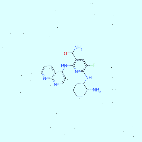 NC(=O)c1cc(F)c(NC2CCCCC2N)nc1Nc1ccnc2ncccc12